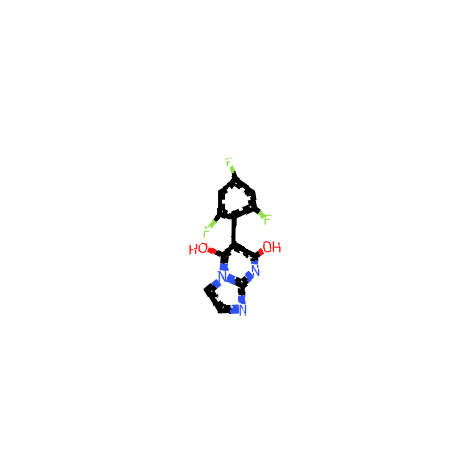 Oc1nc2nccn2c(O)c1-c1c(F)cc(F)cc1F